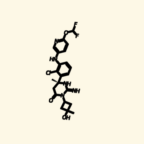 CC1(O)CC(N2C(=N)N[C@](C)(c3cccc(Nc4ccc(OC(F)F)nc4)c3Cl)CC2=O)C1